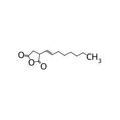 CCCCCCC=CC1CC(=O)OC1=O